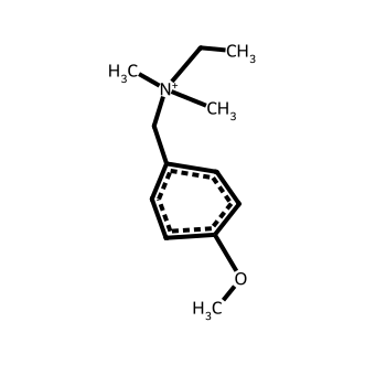 CC[N+](C)(C)Cc1ccc(OC)cc1